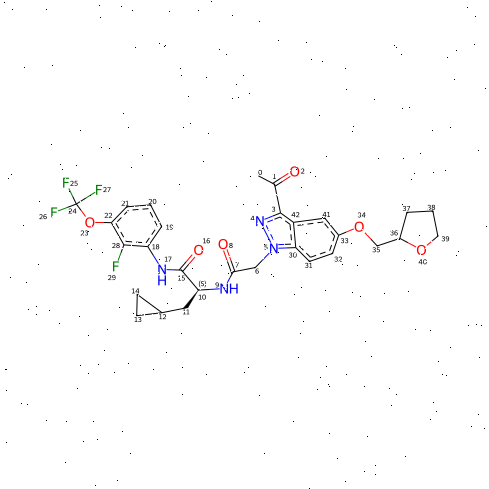 CC(=O)c1nn(CC(=O)N[C@@H](CC2CC2)C(=O)Nc2cccc(OC(F)(F)F)c2F)c2ccc(OCC3CCCO3)cc12